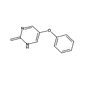 C=C1N=CC(Oc2ccccc2)=CN1